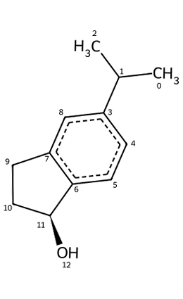 CC(C)c1ccc2c(c1)CC[C@@H]2O